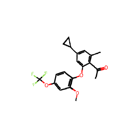 COc1cc(OC(F)(F)F)ccc1Oc1cc(C2CC2)cc(C)c1C(C)=O